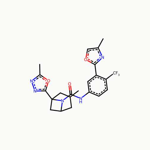 Cc1coc(-c2cc(NC(=O)N3C4CC(C)CC3(c3nnc(C)o3)C4)ccc2C(F)(F)F)n1